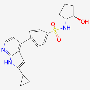 O=S(=O)(N[C@@H]1CCC[C@H]1O)c1ccc(-c2ccnc3[nH]c(C4CC4)cc23)cc1